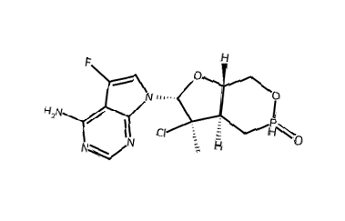 C[C@@]1(Cl)[C@@H]2C[PH](=O)OC[C@H]2O[C@H]1n1cc(F)c2c(N)ncnc21